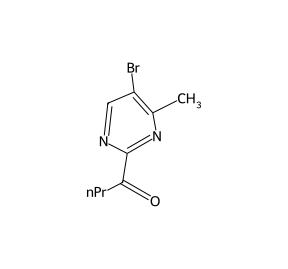 CCCC(=O)c1ncc(Br)c(C)n1